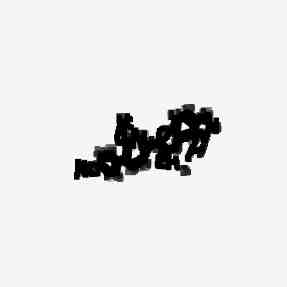 CCOc1nc(C(=O)N(C)Cc2cccc3cn[nH]c23)ccc1-c1ccc(C#N)cc1